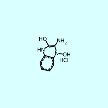 Cl.NC1=C(O)Nc2ccccc2N1O